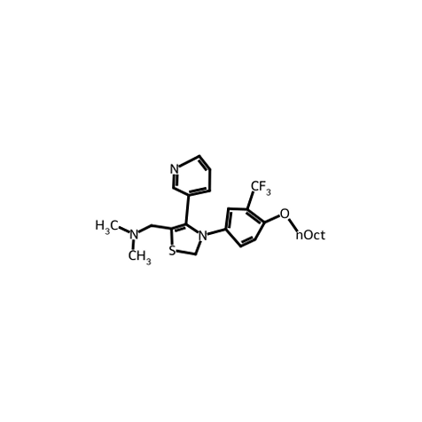 CCCCCCCCOc1ccc(N2CSC(CN(C)C)=C2c2cccnc2)cc1C(F)(F)F